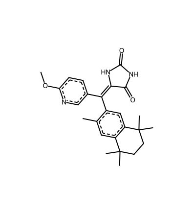 COc1ccc(C(=C2NC(=O)NC2=O)c2cc3c(cc2C)C(C)(C)CCC3(C)C)cn1